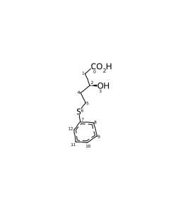 O=C(O)C[C@@H](O)CCSc1ccccc1